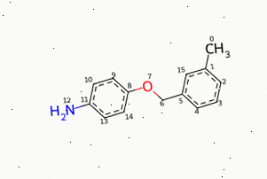 Cc1cccc(COc2ccc(N)cc2)c1